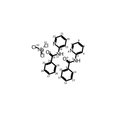 O=C(Nc1ccccn1)c1ccccc1.O=C(Nc1ccccn1)c1ccccc1.[Cl][Nb]([Cl])[Cl]